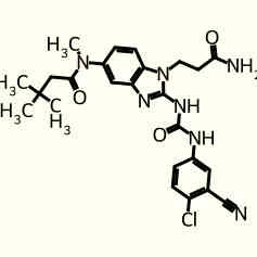 CN(C(=O)CC(C)(C)C)c1ccc2c(c1)nc(NC(=O)Nc1ccc(Cl)c(C#N)c1)n2CCC(N)=O